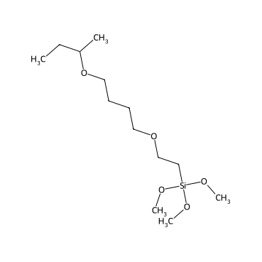 CCC(C)OCCCCOCC[Si](OC)(OC)OC